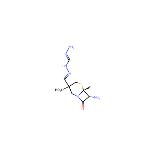 NN=CNN=CC1(C(=O)O)CS[C@@H]2C(N)C(=O)N2C1